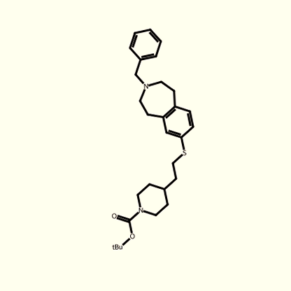 CC(C)(C)OC(=O)N1CCC(CCSc2ccc3c(c2)CCN(Cc2ccccc2)CC3)CC1